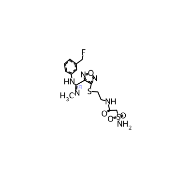 C/N=C(\Nc1cccc(CF)c1)c1nonc1SCCNC(=O)CS(N)(=O)=O